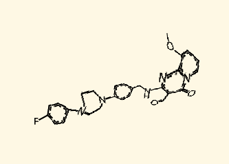 COc1cccn2c(=O)c(C=O)c(NCc3ccc(N4CCN(c5ccc(F)cc5)CC4)cc3)nc12